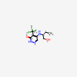 CC[C@@H](CO)Nc1cn[nH]c(=O)c1C(F)(F)F